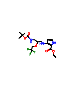 CCOC(=O)c1[nH]ccc1NCC(CNC(=O)OC(C)(C)C)OCC(F)(F)F